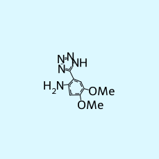 COc1cc(N)c(-c2nnn[nH]2)cc1OC